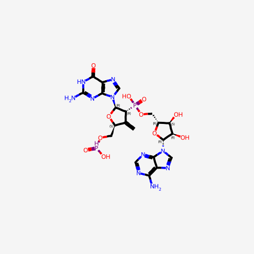 C=C1[C@@H](P(=O)(O)OC[C@H]2O[C@@H](n3cnc4c(N)ncnc43)[C@H](O)[C@@H]2O)[C@H](n2cnc3c(=O)[nH]c(N)nc32)O[C@@H]1CO[PH](=O)O